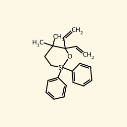 C=CC1(C=C)O[Si](c2ccccc2)(c2ccccc2)CCC1(C)C